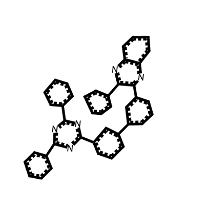 c1ccc(-c2nc(-c3ccccc3)nc(-c3cccc(-c4cccc(-c5nc6ccccc6nc5-c5ccccc5)c4)c3)n2)cc1